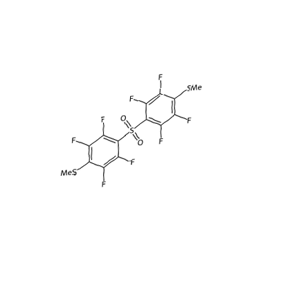 CSc1c(F)c(F)c(S(=O)(=O)c2c(F)c(F)c(SC)c(F)c2F)c(F)c1F